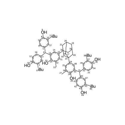 CCC(C)c1cc(C(c2ccc(O)c(C(C)CC)c2)c2cc(C34CC5CC(C3)CC(c3cc(C)c(O)c(C(c6ccc(O)c(C(C)CC)c6)c6ccc(O)c(C(C)CC)c6)c3)(C5)C4)cc(C)c2O)ccc1O